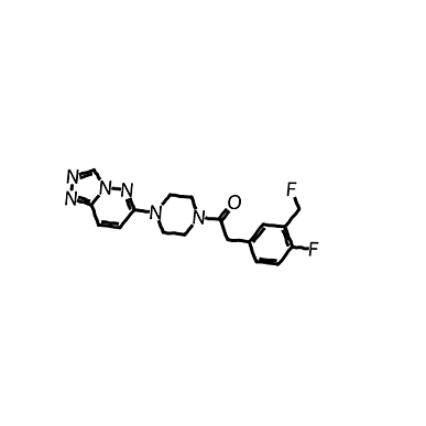 O=C(Cc1ccc(F)c(CF)c1)N1CCN(c2ccc3nncn3n2)CC1